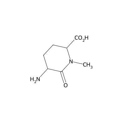 CN1C(=O)C(N)CCC1C(=O)O